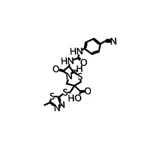 Cc1nnc(SCC2(C(=O)O)CS[C@@H]3C(NC(=O)Nc4ccc(C#N)cc4)C(=O)N3C2)s1